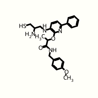 COc1ccc(CNC(=O)C(C)Oc2nc(-c3ccccc3)ccc2NCC(N)CS)cc1